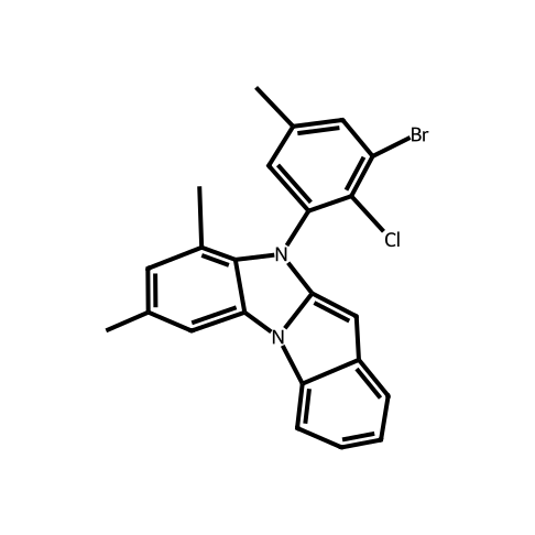 Cc1cc(Br)c(Cl)c(-n2c3c(C)cc(C)cc3n3c4ccccc4cc23)c1